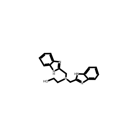 OCCN(Cc1nc2ccccc2[nH]1)Cc1nc2ccccc2[nH]1